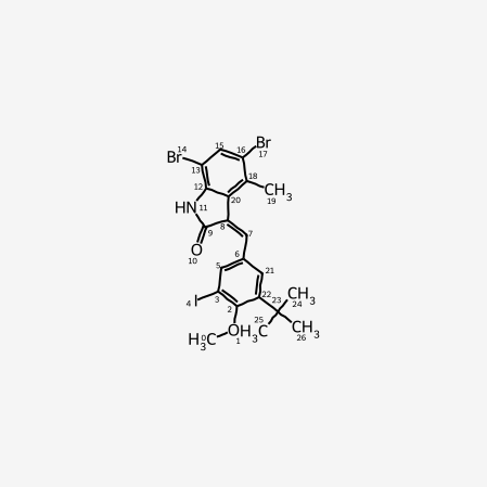 COc1c(I)cc(C=C2C(=O)Nc3c(Br)cc(Br)c(C)c32)cc1C(C)(C)C